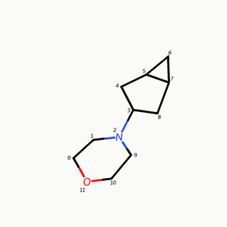 C1CN(C2CC3CC3C2)CCO1